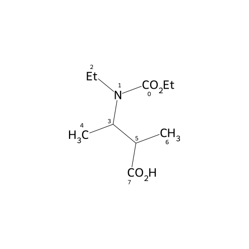 CCOC(=O)N(CC)C(C)C(C)C(=O)O